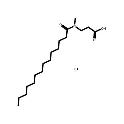 CCCCCCCCCCCCCC(=O)N(C)CCC(=O)O.[KH]